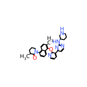 Cc1ccc2c(N3CCCC(C)C3=O)cccc2c1Oc1ncccc1-c1ccnc(NC2CCCNC2)n1